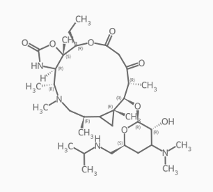 CC[C@H]1OC(=O)CC(=O)[C@H](C)[C@@H](O[C@@H]2O[C@H](CNC(C)C)CC(N(C)C)[C@H]2O)[C@]2(C)CC2[C@@H](C)CN(C)[C@H](C)[C@H]2NC(=O)O[C@@]21C